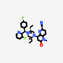 CC[C@H]1CN(C(c2ccc(F)cc2)c2ncccc2F)[C@H](CC)CN1c1cc(=O)n(C)c2ccc(C#N)nc12